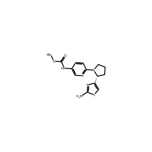 CC(C)(C)OC(=O)Nc1ccc(N2CCC[C@@H]2c2csc(N)n2)nc1